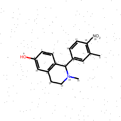 Cc1cc(C2c3ccc(O)cc3CCN2C)ccc1[N+](=O)[O-]